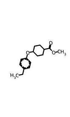 CCc1ccc(OC2CCC(C(=O)OC)CC2)cc1